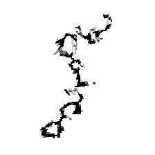 C/N=C\c1nc(Nc2cc(C)nc(-c3ccc(C(=O)NCc4ccc(-c5cccnc5)nc4)nc3)n2)c[nH]1